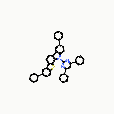 c1ccc(-c2ccc3sc4c(ccc5c6cc(-c7ccccc7)ccc6n(-c6nc(-c7ccccc7)cc(-c7ccccc7)n6)c54)c3c2)cc1